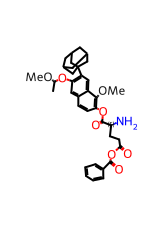 COc1c(OC(=O)[C@@H](N)CCC(=O)OC(=O)c2ccccc2)ccc2cc(OC(C)OC)c(C34CC5CC(CC(C5)C3)C4)cc12